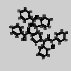 ClC(Nc1ccc(C(NC(Cl)c2ccccc2)c2ccccc2)cc1C(NC(Cl)c1ccccc1)c1ccccc1)c1ccccc1